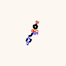 CN1CCN(CCCNS(=O)(=O)c2ccc(Br)cc2)CC1